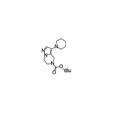 CC(C)(C)OC(=O)N1CCn2ncc(N3CCCCC3)c2C1